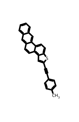 Cc1ccc(C#Cc2cc3c(ccc4c5cc6ccccc6cc5ccc34)s2)cc1